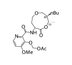 CCCC[C@@H]1COCCC(NC(=O)c2nccc(OC)c2OCOC(C)=O)C(=O)O[C@H]1C